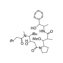 CCC(C)C(C(O)CC(=O)N1CCCC1C(OC)C(C)C(=O)NC(C)C(O)c1ccccc1)N(C)C(=O)CC(C)C